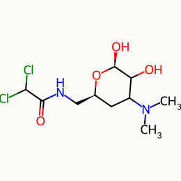 CN(C)C1C[C@@H](CNC(=O)C(Cl)Cl)O[C@@H](O)C1O